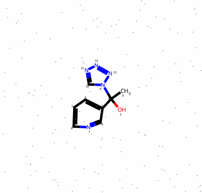 CC(O)(c1cccnc1)n1cnnn1